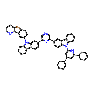 c1ccc(-c2cc(-c3ccccc3)nc(-n3c4ccccc4c4cc(-c5cncc(-c6ccc7c8ccccc8n(-c8ccc9sc%10cccnc%10c9c8)c7c6)n5)ccc43)c2)cc1